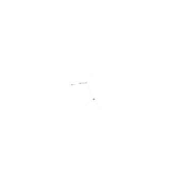 BC(B)(O)C(C)C